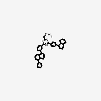 CCc1nc(-c2ccc(-c3cccc4ccccc34)cc2)nc(-c2cccc(-c3cccc4c(-c5ccccc5)cccc34)c2)n1